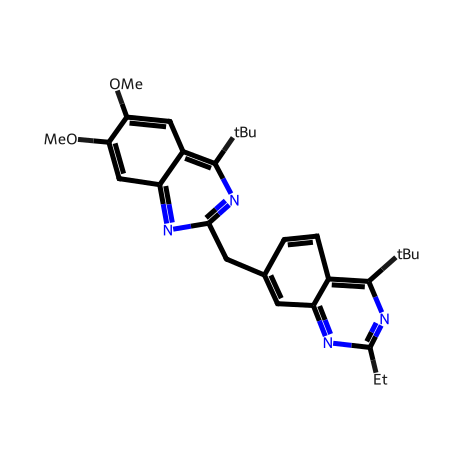 CCc1nc(C(C)(C)C)c2ccc(Cc3nc(C(C)(C)C)c4cc(OC)c(OC)cc4n3)cc2n1